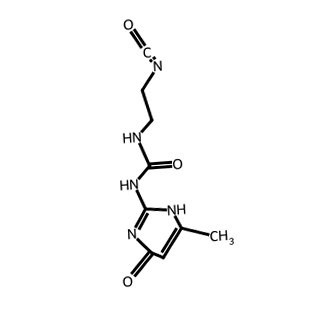 Cc1cc(=O)nc(NC(=O)NCCN=C=O)[nH]1